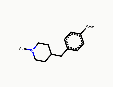 CSc1ccc(CC2CCN(C(C)=O)CC2)cc1